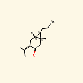 CC(=O)CC[C@@H]1[C@H]2CC(=C(C)C)C(=O)C[C@@]12C